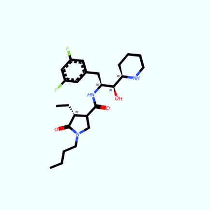 CCCCN1CC(C(=O)N[C@@H](Cc2cc(F)cc(F)c2)[C@H](O)[C@H]2CCCCN2)[C@@H](CC)C1=O